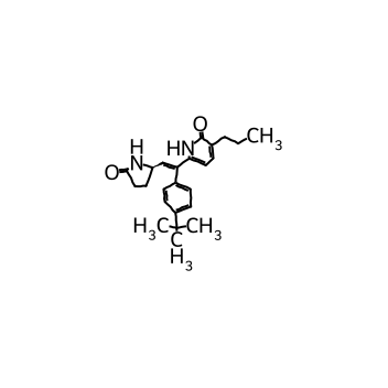 CCCc1ccc(/C(=C/[C@H]2CCC(=O)N2)c2ccc(C(C)(C)C)cc2)[nH]c1=O